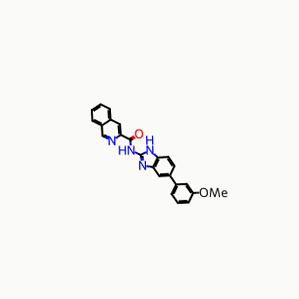 COc1cccc(-c2ccc3[nH]c(NC(=O)c4cc5ccccc5cn4)nc3c2)c1